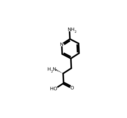 Nc1ccc(C[C@@H](N)C(=O)O)cn1